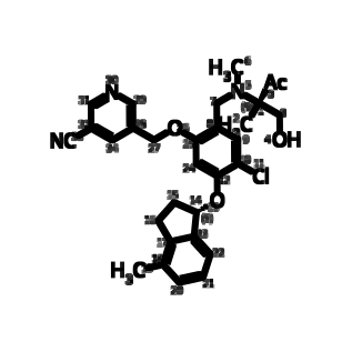 CC(=O)[C@](C)(CO)N(C)Cc1cc(Cl)c(O[C@H]2CCc3c(C)cccc32)cc1OCc1cncc(C#N)c1